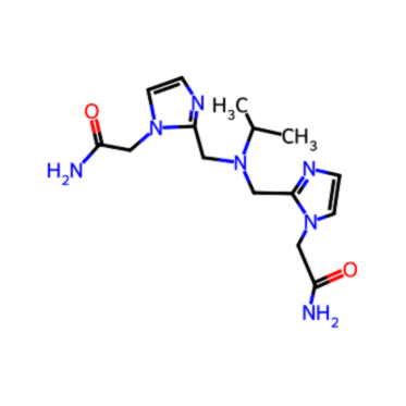 CC(C)N(Cc1nccn1CC(N)=O)Cc1nccn1CC(N)=O